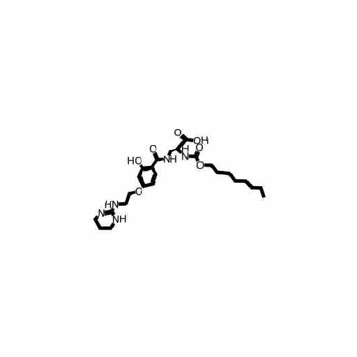 CCCCCCCCOC(=O)N[C@@H](CNC(=O)c1ccc(OCCNC2=NCCCN2)cc1O)C(=O)O